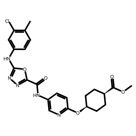 COC(=O)[C@H]1CC[C@@H](Oc2ccc(NC(=O)c3nnc(Nc4ccc(C)c(Cl)c4)o3)cn2)CC1